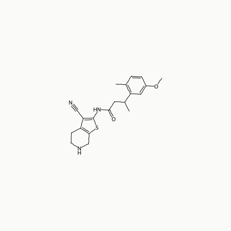 COc1ccc(C)c(C(C)CC(=O)Nc2sc3c(c2C#N)CCNC3)c1